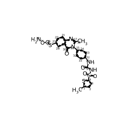 Cc1ccc(S(=O)(=O)NC(=O)Nc2ccc(-n3c(C)nc4ccc(SOON)cc4c3=O)cc2)s1